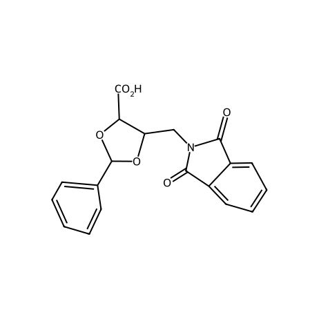 O=C(O)C1OC(c2ccccc2)OC1CN1C(=O)c2ccccc2C1=O